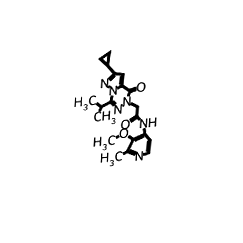 COc1c(NC(=O)Cn2nc(C(C)C)n3nc(C4CC4)cc3c2=O)ccnc1C